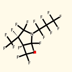 FC(F)(F)C(F)(F)C(F)(F)N1C(F)(F)[C@](F)(C(F)(F)F)[C@](F)(C(F)(F)F)C1(F)F